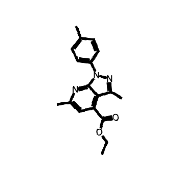 CCOC(=O)c1cc(C)nc2c1c(C)nn2-c1ccc(C)cc1